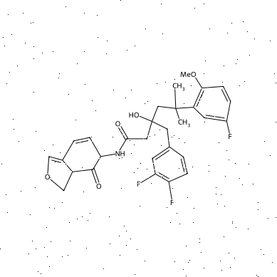 COc1ccc(F)cc1C(C)(C)CC(O)(CC(=O)NC1C=CC2=COCC2C1=O)Cc1ccc(F)c(F)c1